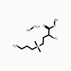 CC(C)(C)OC(=O)C(N)CC[N+](C)(C)CCCN.O=C(O)O